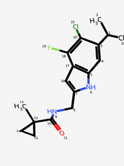 CC(C)c1cc2[nH]c(CNC(=O)C3(C)CC3)cc2c(F)c1Cl